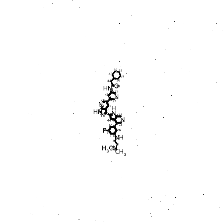 CN(C)CCNc1cc(F)cc(-c2cncc3[nH]c(-c4n[nH]c5ncc(-c6cncc(NC(=O)CC7CCCCC7)c6)cc45)cc23)c1